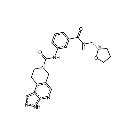 O=C(NC[C@@H]1CCCO1)c1cccc(NC(=O)N2CCc3c(cnc4[nH]ncc34)C2)c1